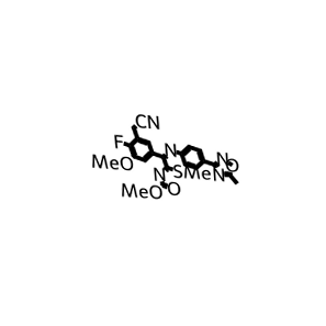 COC(=O)/N=C(SC)/C(=N\c1ccc(-c2noc(C)n2)cc1)c1cc(CC#N)c(F)c(OC)c1